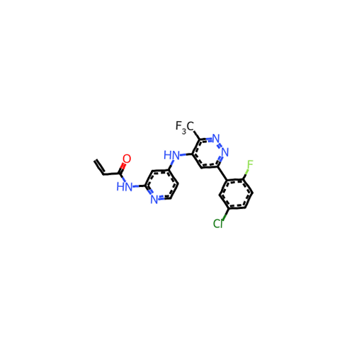 C=CC(=O)Nc1cc(Nc2cc(-c3cc(Cl)ccc3F)nnc2C(F)(F)F)ccn1